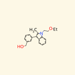 CCOCCn1c(C)c(-c2cccc(CO)c2)c2ccccc21